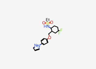 CCS(=O)(=O)NC1CCC(F)(F)CC1COc1ccc(-n2cccn2)cc1